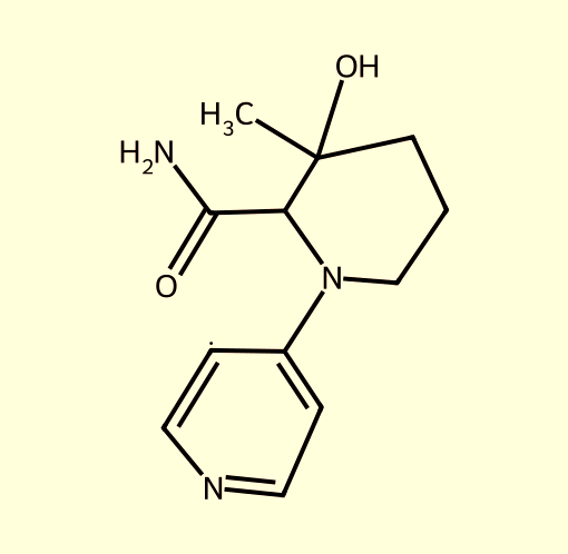 CC1(O)CCCN(c2[c]cncc2)C1C(N)=O